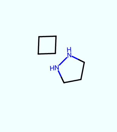 C1CCC1.C1CNNC1